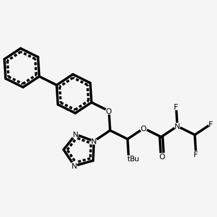 CC(C)(C)C(OC(=O)N(F)C(F)F)C(Oc1ccc(-c2ccccc2)cc1)n1cncn1